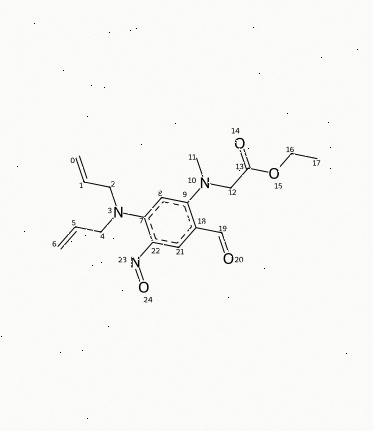 C=CCN(CC=C)c1cc(N(C)CC(=O)OCC)c(C=O)cc1N=O